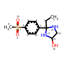 CCC1(c2ccc(S(C)(=O)=O)cc2)NCC(O)N1